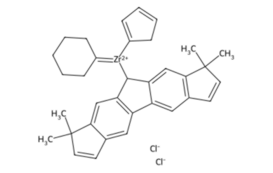 CC1(C)C=Cc2cc3c(cc21)[CH]([Zr+2]([C]1=CC=CC1)=[C]1CCCCC1)c1cc2c(cc1-3)C=CC2(C)C.[Cl-].[Cl-]